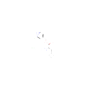 Cl.N[C@@H](CC1CCC1)C(=O)OCc1cc(Cl)nc(Cl)c1